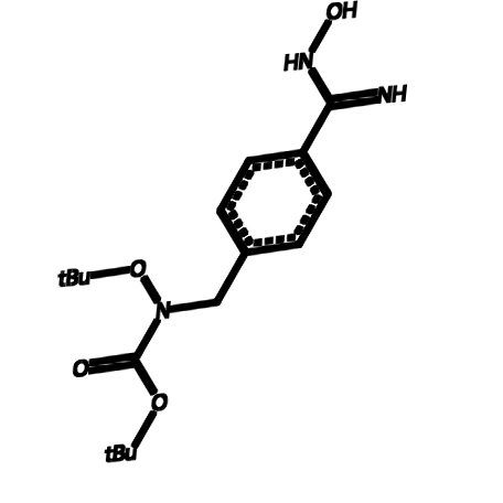 CC(C)(C)OC(=O)N(Cc1ccc(C(=N)NO)cc1)OC(C)(C)C